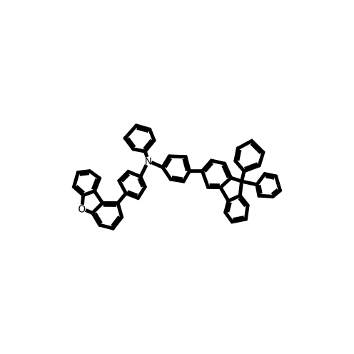 c1ccc(N(c2ccc(-c3ccc4c(c3)-c3ccccc3C4(c3ccccc3)c3ccccc3)cc2)c2ccc(-c3cccc4oc5ccccc5c34)cc2)cc1